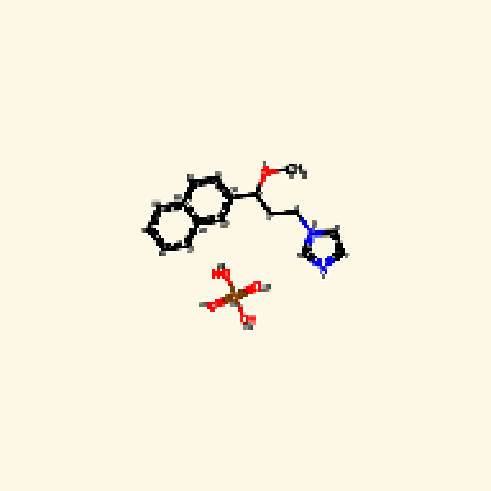 COC(CCn1ccnc1)c1ccc2ccccc2c1.O=S(=O)(O)O